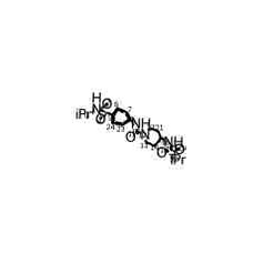 CC(C)NS(=O)(=O)c1ccc(NC(=O)N2CCC(NS(=O)(=O)C(C)C)CC2)cc1